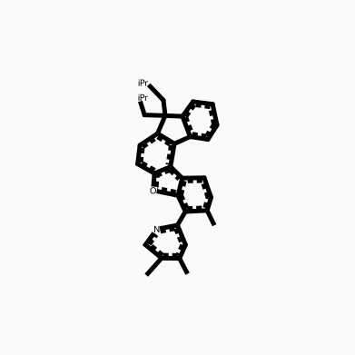 Cc1cnc(-c2c(C)ccc3c2oc2ccc4c(c23)-c2ccccc2C4(CC(C)C)CC(C)C)cc1C